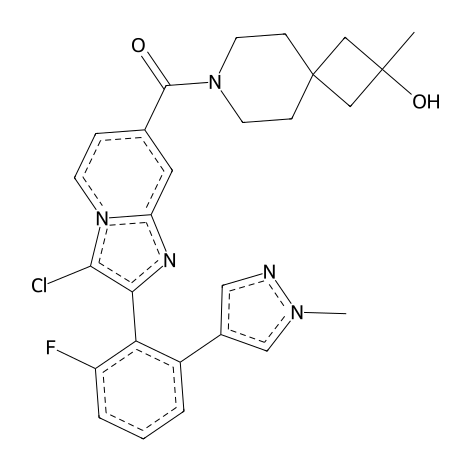 Cn1cc(-c2cccc(F)c2-c2nc3cc(C(=O)N4CCC5(CC4)CC(C)(O)C5)ccn3c2Cl)cn1